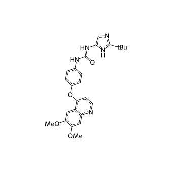 COc1cc2nccc(Oc3ccc(NC(=O)Nc4cnc(C(C)(C)C)[nH]4)cc3)c2cc1OC